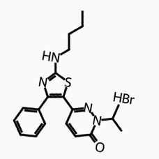 Br.CCCCNc1nc(-c2ccccc2)c(-c2ccc(=O)n(C(C)C)n2)s1